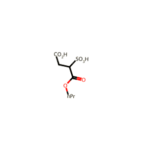 CCCOC(=O)C(CC(=O)O)S(=O)(=O)O